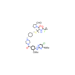 CNc1nc(Nc2ccc(C(=O)N3CCN(C[C@H]4CC[C@@H](CSC(C)(C)C(NC(=O)C5(F)CC5)C(=O)N5CCCC5C=O)CC4)CC3)cc2OC)ncc1Cl